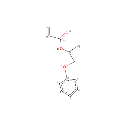 [CH2]C(COc1ccccc1)OC(=O)C=C